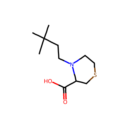 CC(C)(C)CCN1CCSCC1C(=O)O